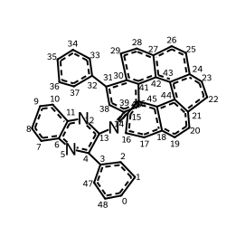 c1ccc(-c2nc3ccccc3nc2-n2c3ccc4ccc5ccc6ccc7ccc8c(-c9ccccc9)cc2c2c8c7c6c5c4c23)cc1